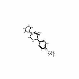 Cl.O=C(O)c1ccc(C2CCN(C3CCCC3)CC2)cc1